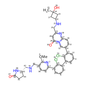 COc1nc(-c2cccc(-c3cccc(-c4ccc5nc(CNC6CC(C)(O)C6)cc(=O)n5c4)c3Cl)c2Cl)ccc1CNC[C@@H]1CCC(=O)N1